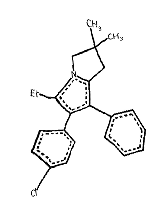 CCc1c(-c2ccc(Cl)cc2)c(-c2ccccc2)c2n1CC(C)(C)C2